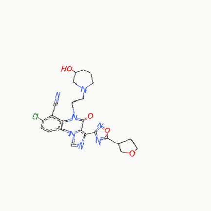 N#Cc1c(Cl)ccc2c1n(CCN1CCCC(O)C1)c(=O)c1c(-c3noc(C4CCOC4)n3)ncn12